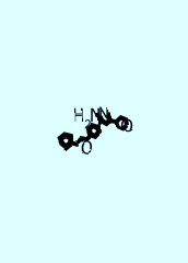 Nc1ncc(C2CCOCC2)cc1-c1ccc(C(=O)CCc2ccccc2)cc1